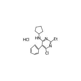 CCc1nc(Cl)c(-c2ccccc2)c(NC2CCCC2)n1.Cl